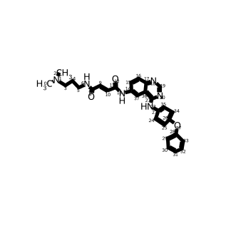 CN(C)CCCNC(=O)C=CC(=O)Nc1ccc2ncnc(Nc3ccc(Oc4ccccc4)cc3)c2c1